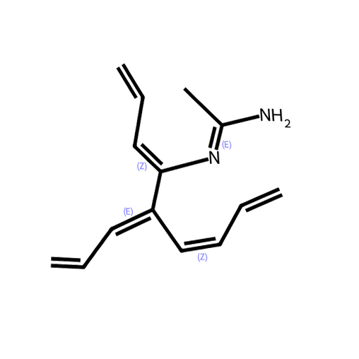 C=C\C=C/C(=C\C=C)C(=C/C=C)/N=C(\C)N